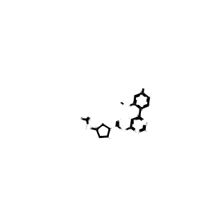 COc1cc(F)ccc1-c1cc(NC(=O)[C@H]2CCC(NC(=O)O)C2)ncn1